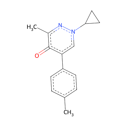 Cc1ccc(-c2cn(C3CC3)nc(C)c2=O)cc1